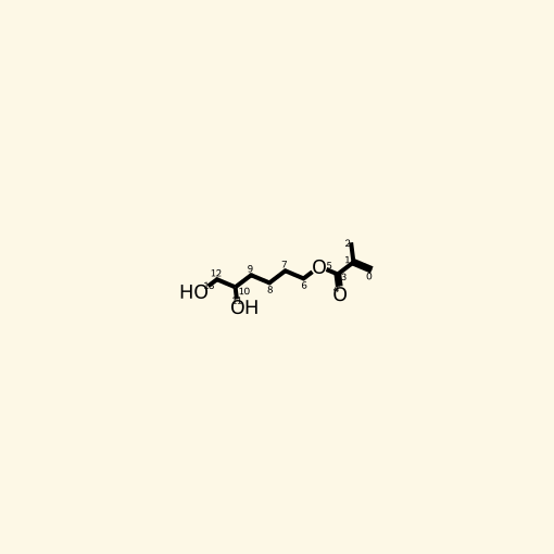 C=C(C)C(=O)OCCCCC(O)CO